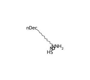 CCCCCCCCCCCCCCCCCCCCCCn1nc(S)cc1N